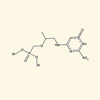 CC(C)OP(=O)(COC(C)CNc1cc(=O)[nH]c([N+](=O)[O-])n1)OC(C)C